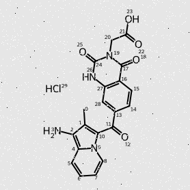 Cc1c(N)c2ccccn2c1C(=O)c1ccc2c(=O)n(CC(=O)O)c(=O)[nH]c2c1.Cl